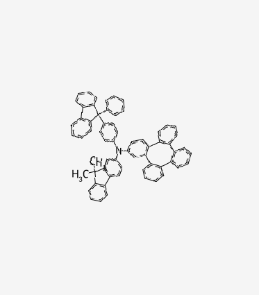 CC1(C)c2ccccc2-c2ccc(N(c3ccc(C4(c5ccccc5)c5ccccc5-c5ccccc54)cc3)c3ccc4c(c3)-c3ccccc3-c3ccccc3-c3ccccc3-4)cc21